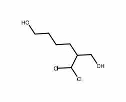 OCCCCC(CO)C(Cl)Cl